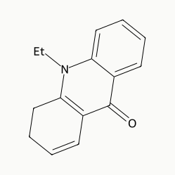 CCn1c2c(c(=O)c3ccccc31)C=CCC2